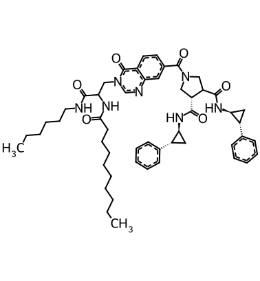 CCCCCCCCCC(=O)NC(Cn1cnc2cc(C(=O)N3CC(C(=O)N[C@H]4C[C@@H]4c4ccccc4)[C@H](C(=O)N[C@H]4C[C@@H]4c4ccccc4)C3)ccc2c1=O)C(=O)NCCCCCC